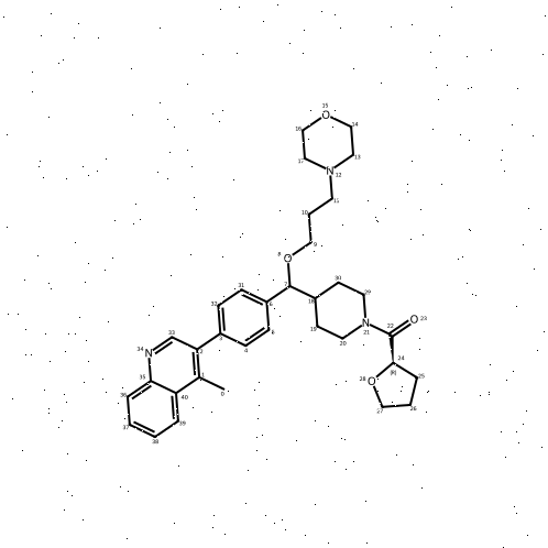 Cc1c(-c2ccc(C(OCCCN3CCOCC3)C3CCN(C(=O)[C@H]4CCCO4)CC3)cc2)cnc2ccccc12